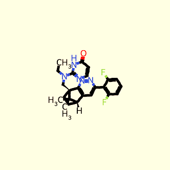 CCN(C[C@@]12CC[C@@H](c3cc(-c4c(F)cccc4F)nnc31)C2(C)C)c1nccc(=O)[nH]1